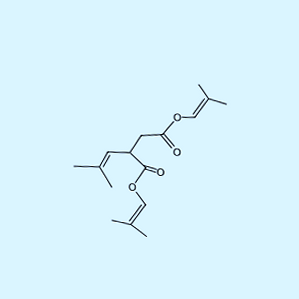 CC(C)=COC(=O)CC(C=C(C)C)C(=O)OC=C(C)C